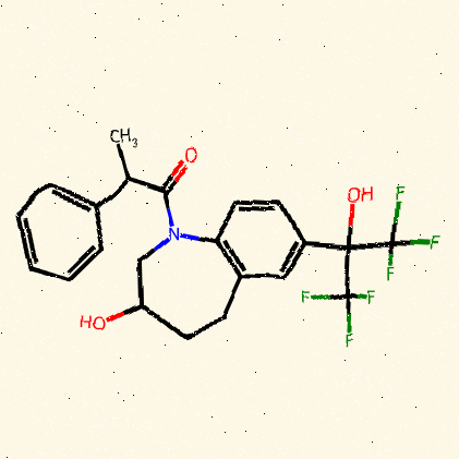 CC(C(=O)N1CC(O)CCc2cc(C(O)(C(F)(F)F)C(F)(F)F)ccc21)c1ccccc1